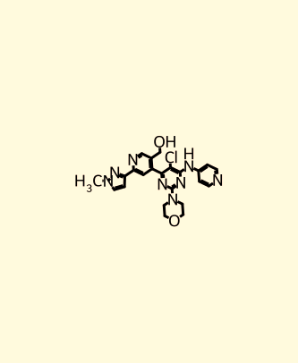 Cn1ccc(-c2cc(-c3nc(N4CCOCC4)nc(Nc4ccncc4)c3Cl)c(CO)cn2)n1